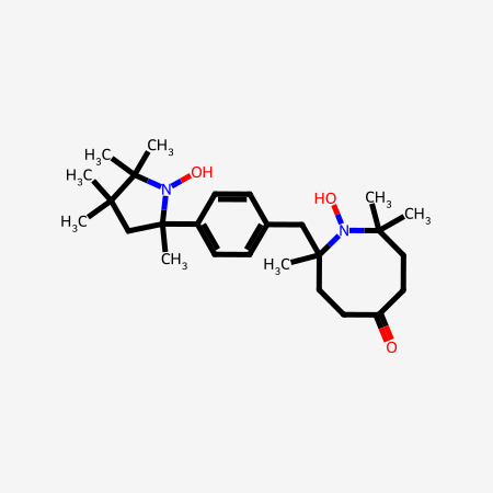 CC1(C)CCC(=O)CCC(C)(Cc2ccc(C3(C)CC(C)(C)C(C)(C)N3O)cc2)N1O